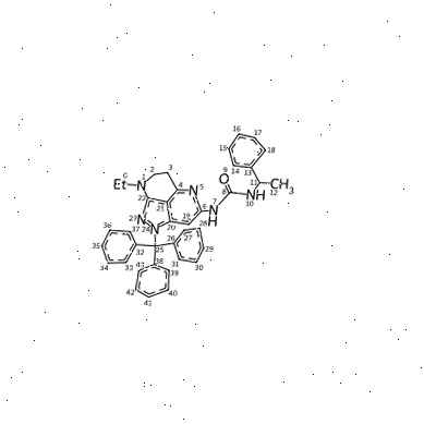 CCN1CCc2nc(NC(=O)NC(C)c3ccccc3)cc3c2c1nn3C(c1ccccc1)(c1ccccc1)c1ccccc1